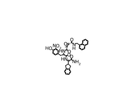 NC(=O)[C@H](NC(=O)[C@@H](Cc1ccc(O)c([N+](=O)[O-])c1)NC(=O)[C@H]1O[C@@H]1C(=O)NCc1cccc2ccccc12)C1Cc2ccccc2C1